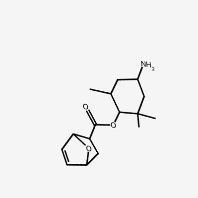 CC1CC(N)CC(C)(C)C1OC(=O)C1CC2C=CC1O2